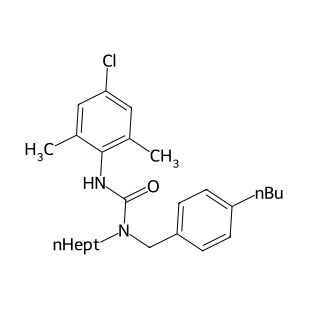 CCCCCCCN(Cc1ccc(CCCC)cc1)C(=O)Nc1c(C)cc(Cl)cc1C